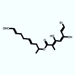 CC/C=C/C(O)=C\C(O)=C(/C)C(=O)OC(C)C/C=C/CC/C=C/C=O